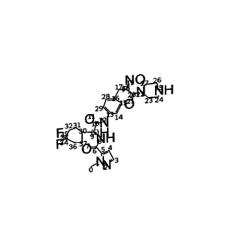 Cn1nccc1C(=O)N[C@H](C(=O)Nc1ccc(C[C@@H](N=O)C(=O)N2CCNCC2)cc1)C1CCC(F)(F)CC1